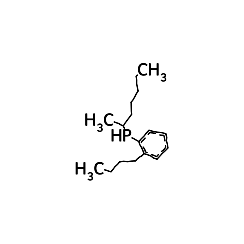 CCCCCC(C)Pc1ccccc1CCCC